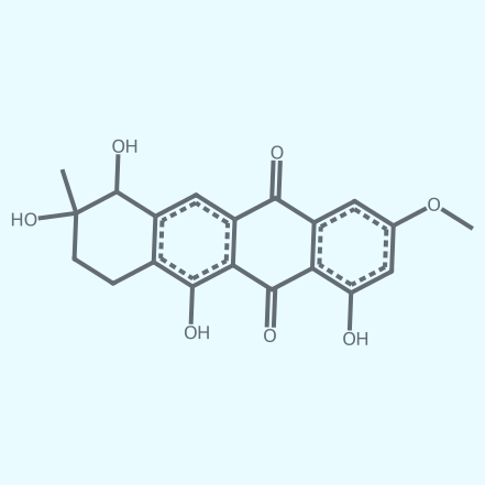 COc1cc(O)c2c(c1)C(=O)c1cc3c(c(O)c1C2=O)CCC(C)(O)C3O